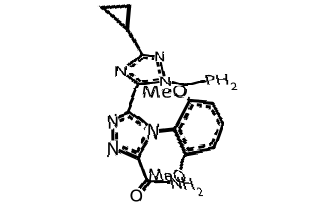 COc1cccc(OC)c1-n1c(C(N)=O)nnc1-c1nc(C2CC2)nn1CP